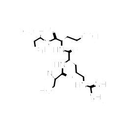 CC(C)C[C@H](NC(=O)[C@@H](CCC(=O)O)NC(=O)[C@@H](CCCNC(=N)N)NC(=O)[C@H](N)CO)C(=O)O